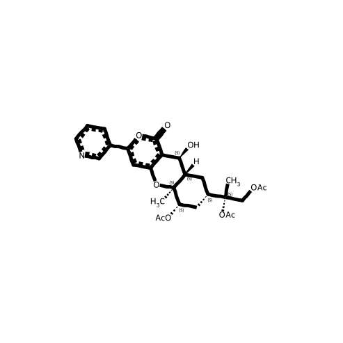 CC(=O)OC[C@@](C)(OC(C)=O)[C@@H]1C[C@H](OC(C)=O)[C@@]2(C)Oc3cc(-c4cccnc4)oc(=O)c3[C@@H](O)[C@@H]2C1